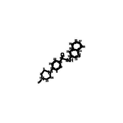 CN1CCN(c2ccc(C(=O)Nc3cnc4ccccc4c3)cc2)CC1